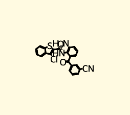 N#Cc1cccc(C(=O)c2cccc(N)c2NC(=O)c2sc3ccccc3c2Cl)c1